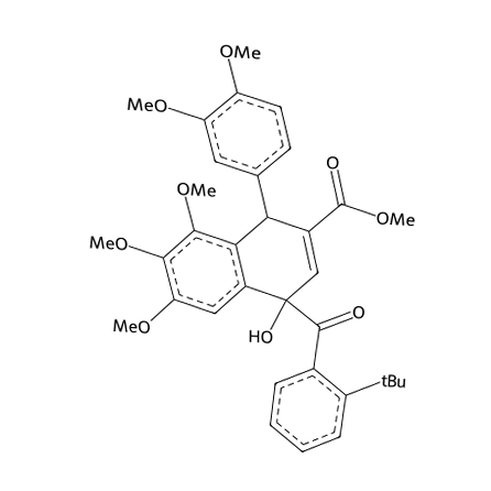 COC(=O)C1=CC(O)(C(=O)c2ccccc2C(C)(C)C)c2cc(OC)c(OC)c(OC)c2C1c1ccc(OC)c(OC)c1